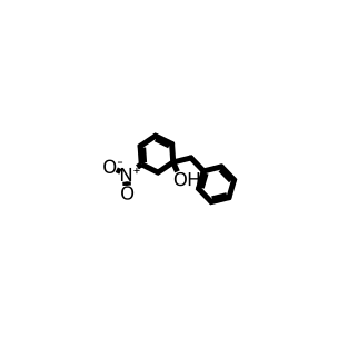 O=[N+]([O-])C1=CC=CC(O)(Cc2ccccc2)C1